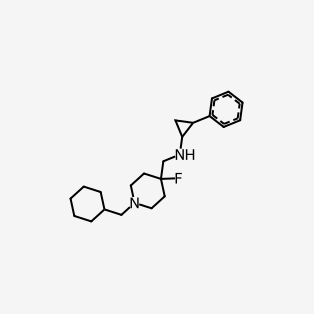 FC1(CNC2CC2c2ccccc2)CCN(CC2CCCCC2)CC1